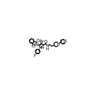 O=C(Nc1c(Br)c(C(=O)NCCC2CCN(c3ccncc3)CC2)nn1-c1ccc(F)cc1)c1ccccc1Cl